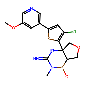 COc1cncc(-c2cc(Cl)c(C34COCC3[S+]([O-])N(C)C(=N)N4)s2)c1